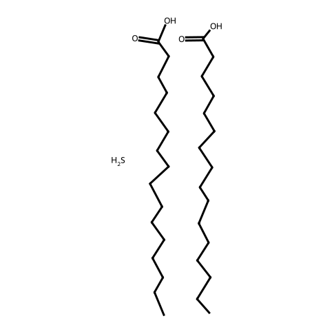 CCCCCCCCCCCCCCCC(=O)O.CCCCCCCCCCCCCCCC(=O)O.S